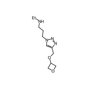 CCNCCCn1cc(COC2COC2)nn1